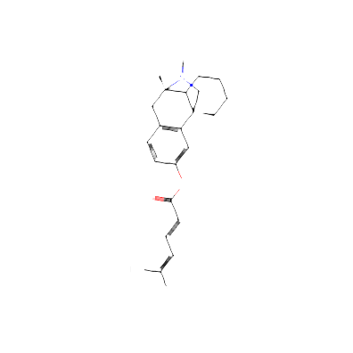 CC(C)=C/C=C/C(=O)Oc1ccc2c(c1)[C@]13CCCC[C@@H]1[C@H](C2)N(C)C3